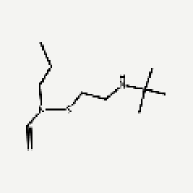 C=CN(CCC)SCCNC(C)(C)C